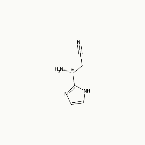 N#CC[C@@H](N)c1ncc[nH]1